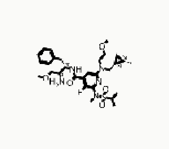 COCCN(C[C@H]1C[C@@H]1C)c1cc(C(=O)N[C@@H](Cc2ccccc2)[C@@H](N)COC)c(F)c(N(C)S(=O)(=O)C(C)C)n1